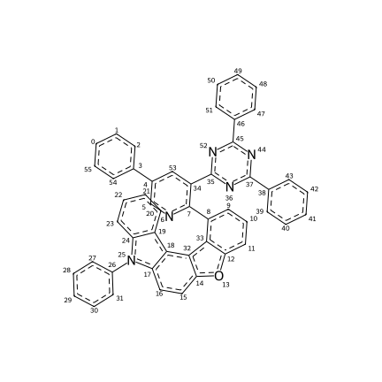 c1ccc(-c2cnc(-c3cccc4oc5ccc6c(c7ccccc7n6-c6ccccc6)c5c34)c(-c3nc(-c4ccccc4)nc(-c4ccccc4)n3)c2)cc1